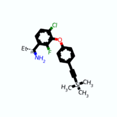 CC[C@@H](N)c1ccc(Cl)c(Oc2ccc(C#C[Si](C)(C)C)cc2)c1F